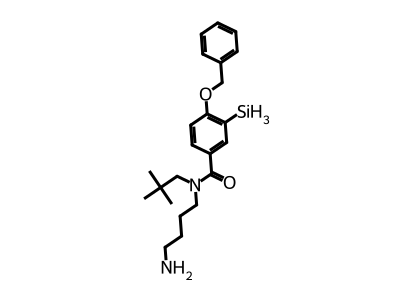 CC(C)(C)CN(CCCCN)C(=O)c1ccc(OCc2ccccc2)c([SiH3])c1